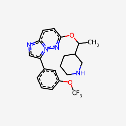 CC(Oc1ccc2ncc(-c3cccc(OC(F)(F)F)c3)n2n1)C1CCCNC1